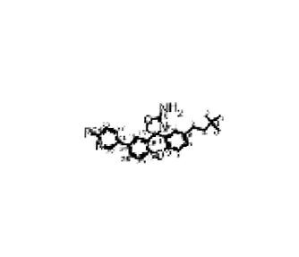 CC(C)(C)CCc1ccc2c(c1)[C@]1(COC(N)=N1)c1cc(-c3ccc(F)nc3)ccc1O2